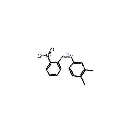 Cc1ccc(/N=C\c2ccccc2[N+](=O)[O-])cc1C